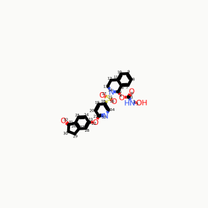 O=C(NO)OC1c2ccccc2CCN1S(=O)(=O)c1ccc(Oc2ccc3c(c2)CCC3=O)nc1